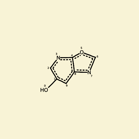 Oc1cnc2ocnc2c1